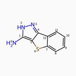 Nc1[nH]nc2c1sc1ccccc12